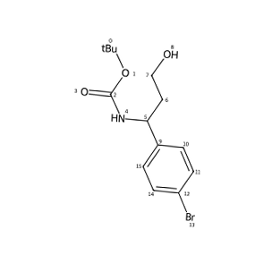 CC(C)(C)OC(=O)NC(CCO)c1ccc(Br)cc1